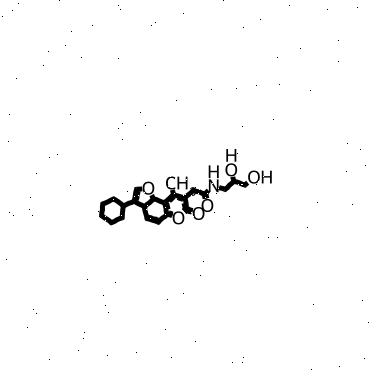 Cc1c2c(oc(=O)c1CC(=O)NCC(O)CO)C=CC1C(C3CCCCC3)=COC21